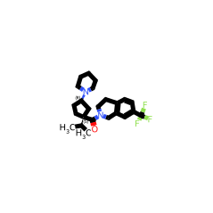 CC(C)[C@]1(C(=O)N2CCc3ccc(C(F)(F)F)cc3C2)CC[C@@H](N2CCCCC2)C1